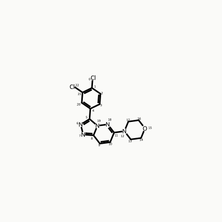 Clc1ccc(-c2nnc3ccc(N4CCOCC4)nn23)cc1Cl